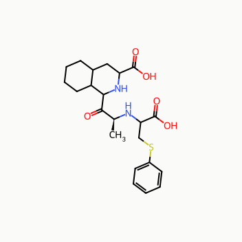 C[C@H](NC(CSc1ccccc1)C(=O)O)C(=O)C1NC(C(=O)O)CC2CCCCC21